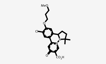 COCCCOc1cc2c(cc1Cl)-c1cc(=O)c(C(=O)O)cn1N1C2CCC1(C)C